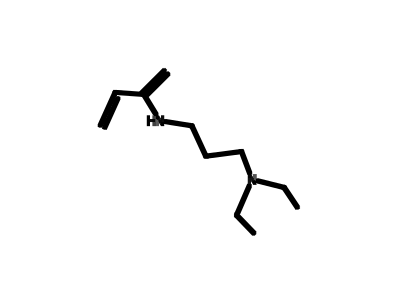 C=CC(=C)NCCCN(CC)CC